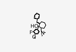 COc1ccc(C2(O)C(=Cc3ccccc3)CCCCC2CN(C)C)cc1F